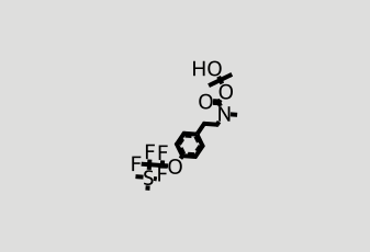 CN(CCc1ccc(OC(F)(F)C(F)(F)S(C)(C)C)cc1)C(=O)OC(C)(C)O